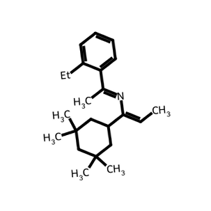 C/C=C(\N=C(/C)c1ccccc1CC)C1CC(C)(C)CC(C)(C)C1